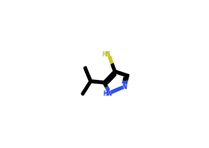 CC(C)c1[nH]ncc1S